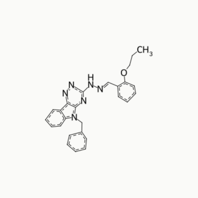 CCCOc1ccccc1/C=N/Nc1nnc2c3ccccc3n(Cc3ccccc3)c2n1